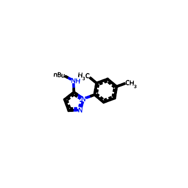 CCCCNc1ccnn1-c1ccc(C)cc1C